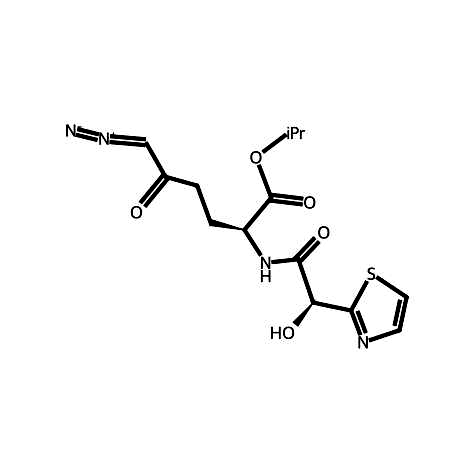 CC(C)OC(=O)[C@H](CCC(=O)C=[N+]=[N-])NC(=O)[C@H](O)c1nccs1